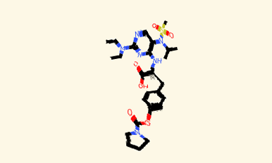 CCN(CC)c1ncc(N(C(C)C)S(C)(=O)=O)c(N[C@@H](Cc2ccc(OC(=O)N3CCCC3)cc2)C(=O)O)n1